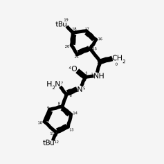 C=C(NC(=O)/N=C(\N)c1ccc(C(C)(C)C)cc1)c1ccc(C(C)(C)C)cc1